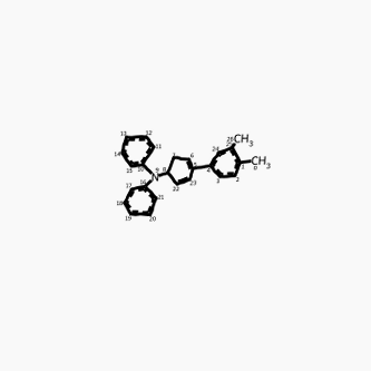 Cc1ccc(C2=CCC(N(c3ccccc3)c3ccccc3)C=C2)cc1C